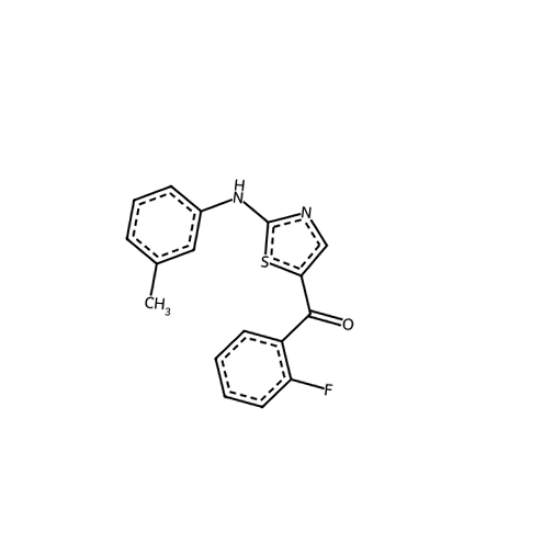 Cc1cccc(Nc2ncc(C(=O)c3ccccc3F)s2)c1